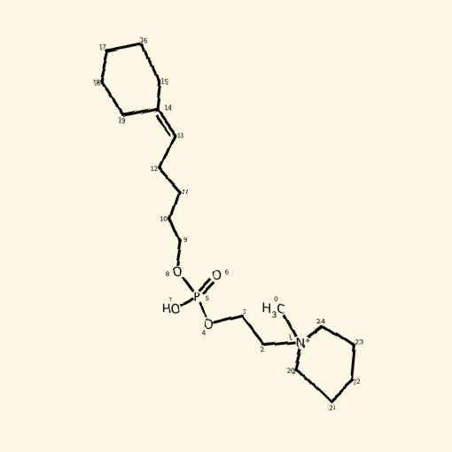 C[N+]1(CCOP(=O)(O)OCCCCC=C2CCCCC2)CCCCC1